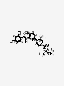 C[C@@H](Nc1nc(N2CCN(C(=O)OC(C)(C)C)C[C@@H]2C)ncc1Cl)c1ccc(Cl)cc1Cl